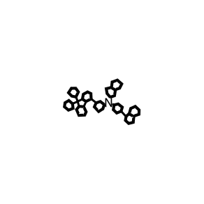 c1ccc(C2(c3ccccc3)c3ccccc3-c3c(-c4cccc(N(c5ccc(-c6cccc7ccccc67)cc5)c5ccc6ccccc6c5)c4)cccc32)cc1